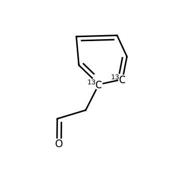 O=CC[13c]1cccc[13cH]1